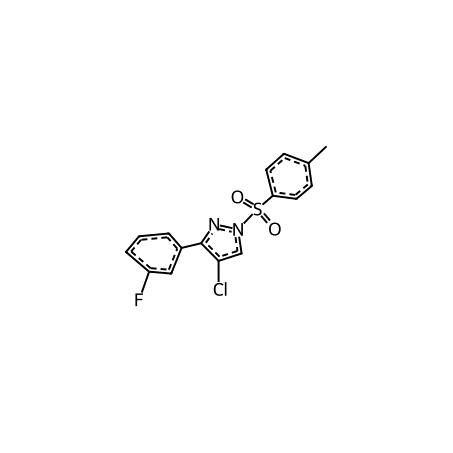 Cc1ccc(S(=O)(=O)n2cc(Cl)c(-c3cccc(F)c3)n2)cc1